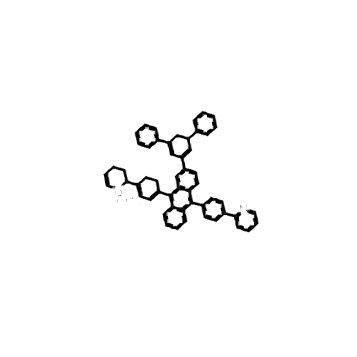 CN1C=CCCC1C1=CC=C(c2c3ccccc3c(-c3ccc(-c4ccccn4)cc3)c3ccc(C4=CC(c5ccccc5)CC(c5ccccc5)=C4)cc23)CC1